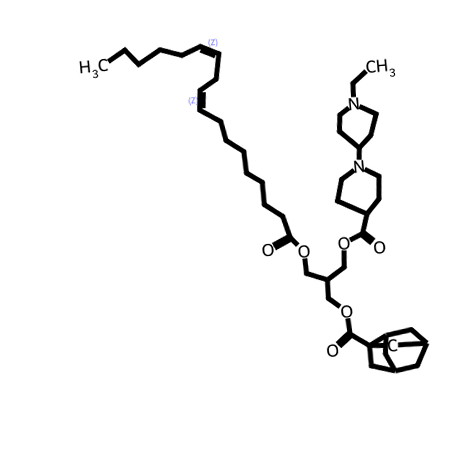 CCCCC/C=C\C/C=C\CCCCCCCC(=O)OCC(COC(=O)C1CCN(C2CCN(CC)CC2)CC1)COC(=O)C12CC3CC(CC1C3)C2